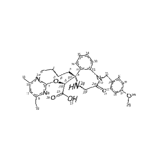 CCCC[C@]1([C@H](Oc2nc(C)cc(C)n2)C(=O)O)NCC(=O)N(Cc2ccc(OC)cc2)c2ccccc21